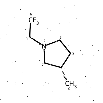 C[C@H]1CCN(CC(F)(F)F)C1